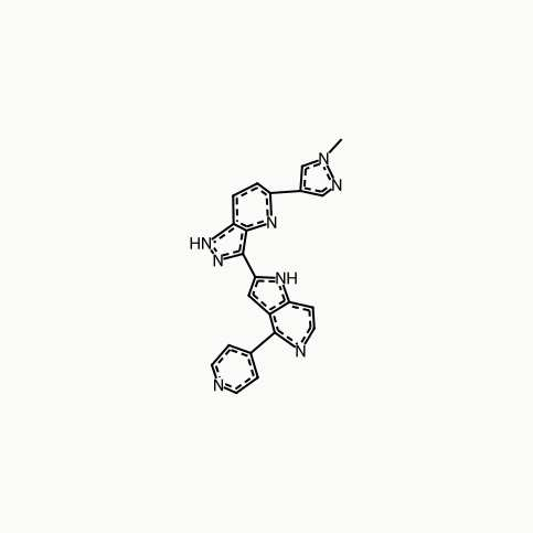 Cn1cc(-c2ccc3[nH]nc(-c4cc5c(-c6ccncc6)nccc5[nH]4)c3n2)cn1